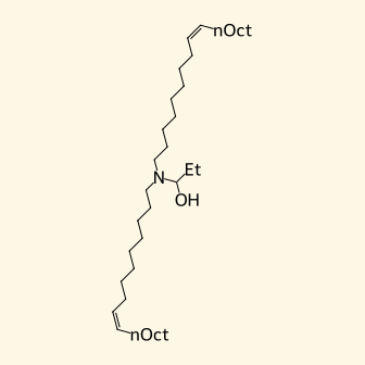 CCCCCCCC/C=C\CCCCCCCCN(CCCCCCCC/C=C\CCCCCCCC)C(O)CC